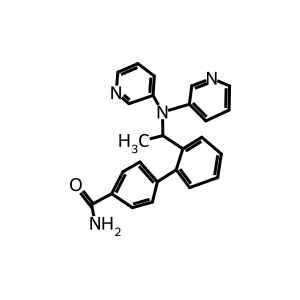 CC(c1ccccc1-c1ccc(C(N)=O)cc1)N(c1cccnc1)c1cccnc1